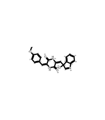 COc1ccc(C=c2[nH]c(=O)c(=CC3(O)C=Nc4ccccc43)[nH]c2=O)cc1